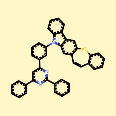 C1=Cc2cc3c(cc2Sc2ccccc21)c1ccccc1n3-c1cccc(-c2cc(-c3ccccc3)nc(-c3ccccc3)n2)c1